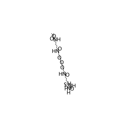 CC(C)(C)OC(=O)NCCCCCC(=O)NCCCOCCOCCOCCCNC(=O)CCCC[C@@H]1SC[C@@H]2NC(=O)N[C@@H]21